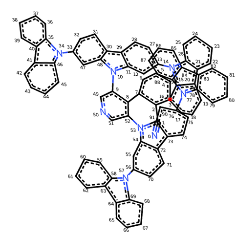 N#Cc1ccccc1-c1c(-n2c3cc(-n4c5ccccc5c5ccccc54)ccc3c3ccc(-n4c5ccccc5c5ccccc54)cc32)cncc1-n1c2cc(-n3c4ccccc4c4ccccc43)ccc2c2ccc(-n3c4ccccc4c4ccccc43)cc21